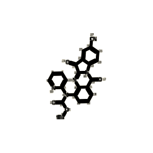 CC(C)(C)OC(=O)N(c1ccccn1)c1cccc2c(=O)n3c(nc12)C(=O)c1cc(C#N)ccc1-3